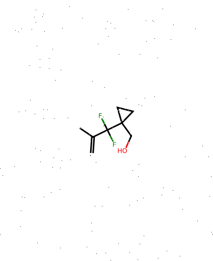 C=C(C)C(F)(F)C1(CO)CC1